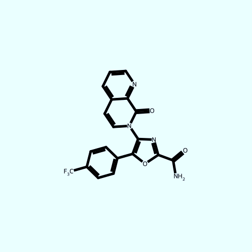 NC(=O)c1nc(-n2ccc3cccnc3c2=O)c(-c2ccc(C(F)(F)F)cc2)o1